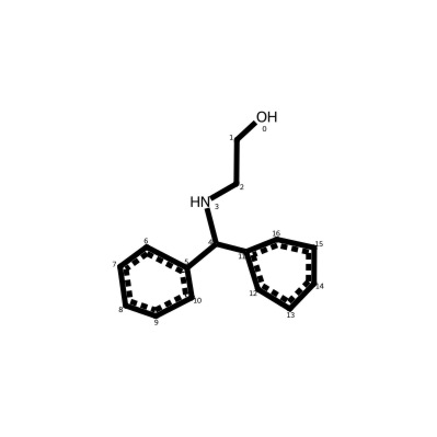 OCCNC(c1ccccc1)c1ccccc1